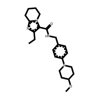 CCc1nc2n(c1C(=O)NCc1ccc(N3CCC(OC)CC3)cc1)CCCC2